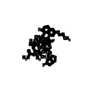 COCOc1cc(-c2ncc3c(N4CC(F)(F)CC(OC(N)=O)C4C(C)(C)C)nc(OC[C@@]45CCCN4C[C@H](F)C5)nc3c2F)c2c(C#C[Si](C(C)C)(C(C)C)C(C)C)c(F)ccc2c1